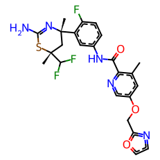 Cc1cc(OCc2ncco2)cnc1C(=O)Nc1ccc(F)c([C@]2(C)C[C@](C)(C(F)F)SC(N)=N2)c1